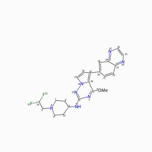 COc1nc(NC2CCN(CC(F)F)CC2)nn2ccc(-c3ccc4nccnc4c3)c12